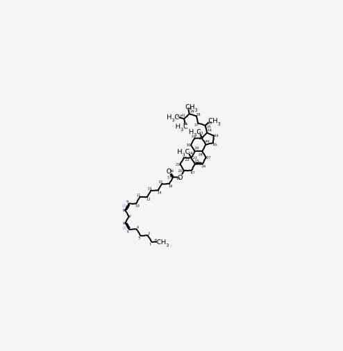 CCCCC/C=C\C/C=C\CCCCCCCC(=O)OC1CCC2(C)C(=CCC3C2CCC2(C)C(C(C)CCC(C)C(C)C)CCC32)C1